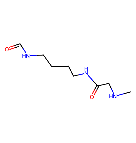 CNCC(=O)NCCCCNC=O